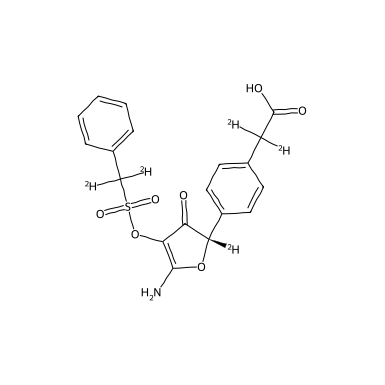 [2H]C([2H])(C(=O)O)c1ccc([C@]2([2H])OC(N)=C(OS(=O)(=O)C([2H])([2H])c3ccccc3)C2=O)cc1